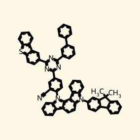 CC1(C)c2ccccc2-c2ccc(-n3c4ccccc4c4c3ccc3c5ccccc5n(-c5ccc(-c6nc(-c7cccc(-c8ccccc8)c7)nc(-c7ccc8sc9ccccc9c8c7)n6)cc5C#N)c34)cc21